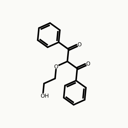 O=C(c1ccccc1)C(OCCO)C(=O)c1ccccc1